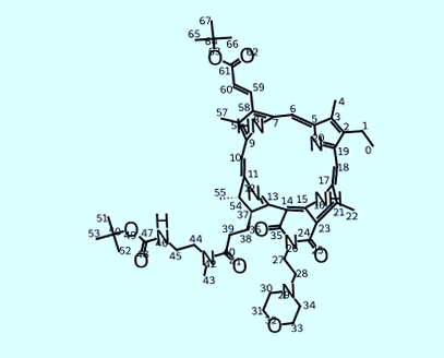 CCC1=C(C)c2cc3[nH]c(cc4nc(c5c6[nH]c(cc1n2)c(C)c6C(=O)N(CCN1CCOCC1)C5=O)[C@@H](CCC(=O)N(C)CCNC(=O)OC(C)(C)C)[C@@H]4C)c(C)c3/C=C/C(=O)OC(C)(C)C